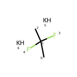 CC(C)(F)F.[KH].[KH]